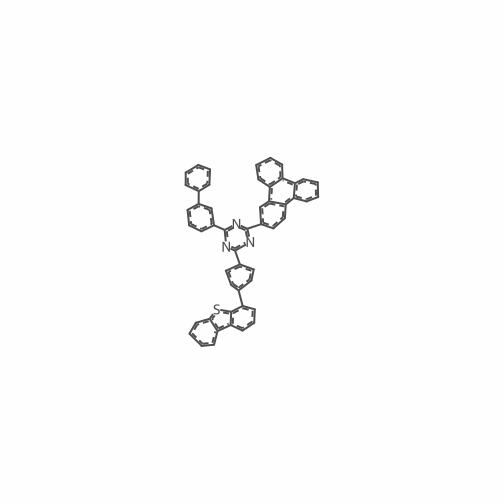 c1ccc(-c2cccc(-c3nc(-c4ccc(-c5cccc6c5sc5ccccc56)cc4)nc(-c4ccc5c6ccccc6c6ccccc6c5c4)n3)c2)cc1